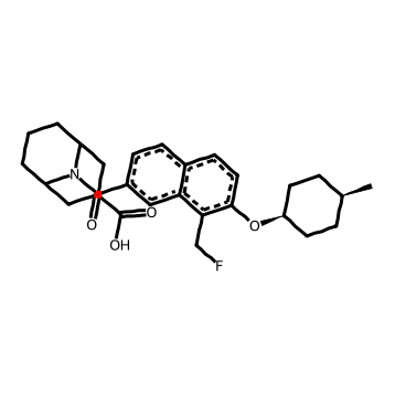 C[C@H]1CC[C@@H](Oc2ccc3ccc(C(=O)N4C5CCCC4CC(C(=O)O)C5)cc3c2CF)CC1